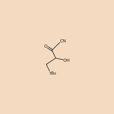 CC(C)(C)CC(O)C(=O)C#N